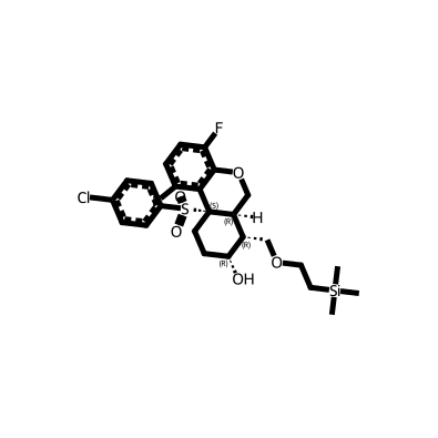 C[Si](C)(C)CCOC[C@@H]1[C@H](O)CC[C@@]2(S(=O)(=O)c3ccc(Cl)cc3)c3c(F)ccc(F)c3OC[C@@H]12